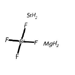 F[B-](F)(F)F.[MgH2].[SrH2]